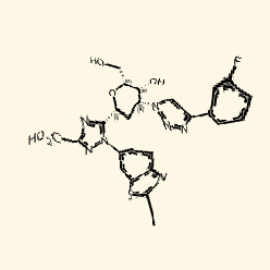 Cc1nc2ccc(-n3nc(C(=O)O)nc3[C@H]3C[C@@H](n4cc(-c5cccc(F)c5)nn4)[C@@H](O)[C@@H](CO)O3)cc2s1